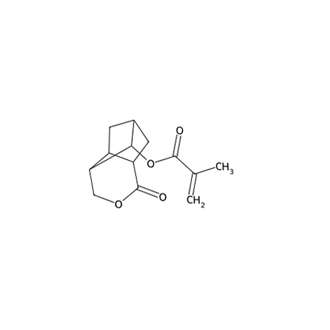 C=C(C)C(=O)OC1C2CC3C(=O)OCC1C3C2